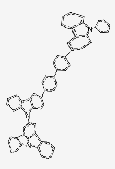 c1ccc(-n2c3ccccc3c3cc(-c4ccc(-c5ccc(-c6ccc7c(c6)c6ccccc6n7-c6cc7c8ccccc8n8c9ccccc9c(c6)c78)cc5)cc4)ccc32)cc1